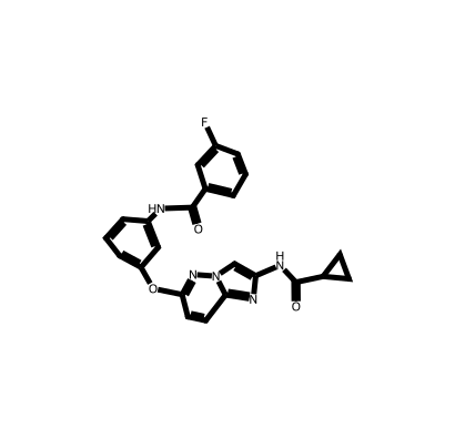 O=C(Nc1cccc(Oc2ccc3nc(NC(=O)C4CC4)cn3n2)c1)c1cccc(F)c1